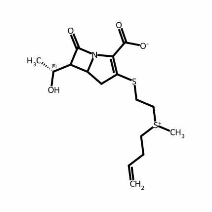 C=CCC[S+](C)CCSC1=C(C(=O)[O-])N2C(=O)C([C@@H](C)O)C2C1